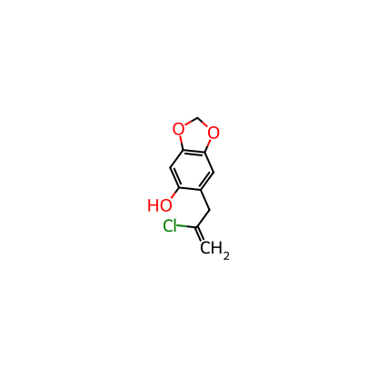 C=C(Cl)Cc1cc2c(cc1O)OCO2